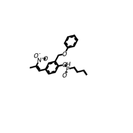 CCCC[PH](=O)Oc1ccc(C=C(C)[N+](=O)[O-])cc1COc1ccccc1